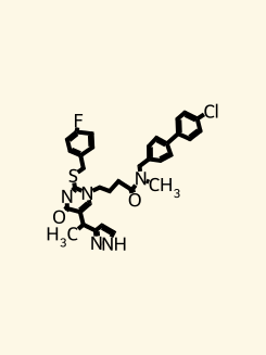 CC(c1cc[nH]n1)c1cn(CCCC(=O)N(C)Cc2ccc(-c3ccc(Cl)cc3)cc2)c(SCc2ccc(F)cc2)nc1=O